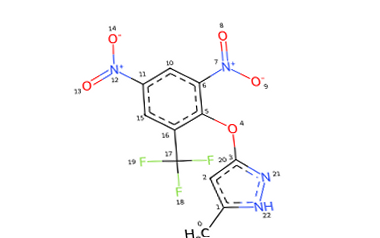 Cc1cc(Oc2c([N+](=O)[O-])cc([N+](=O)[O-])cc2C(F)(F)F)n[nH]1